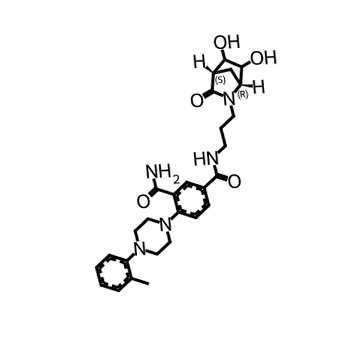 Cc1ccccc1N1CCN(c2ccc(C(=O)NCCCN3C(=O)[C@H]4C[C@@H]3C(O)C4O)cc2C(N)=O)CC1